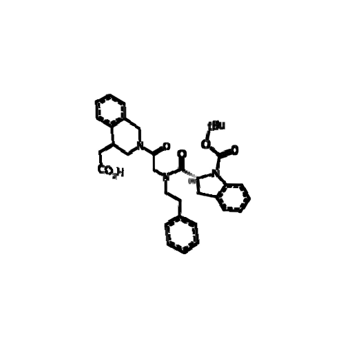 CC(C)(C)OC(=O)N1c2ccccc2C[C@@H]1C(=O)N(CCc1ccccc1)CC(=O)N1Cc2ccccc2C(CC(=O)O)C1